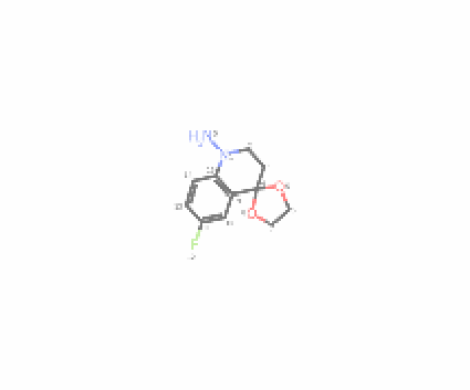 NN1CCC2(OCCO2)c2cc(F)ccc21